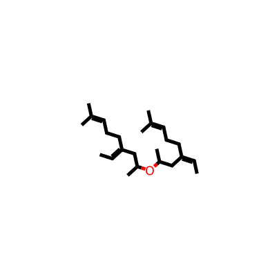 CC=C(CCC=C(C)C)CC(C)OC(C)CC(=CC)CCC=C(C)C